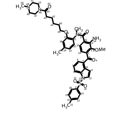 COc1c(C(=O)c2cccc3c2ccn3S(=O)(=O)c2ccc(C)cc2)ccc(C(=O)N(C)c2ccc(C)cc2OCCCCCC(=O)N2CCN(C)CC2)c1N